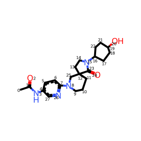 CC(=O)Nc1ccc(N2CCCC3(CCN(C4CCC(O)CC4)C3=O)C2)nc1